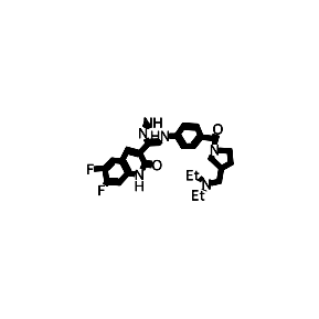 CCN(CC)CC1CCN(C(=O)c2ccc(N/C=C(\N=N)c3cc4cc(F)c(F)cc4[nH]c3=O)cc2)C1